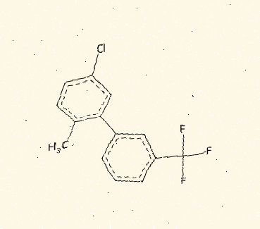 Cc1ccc(Cl)cc1-c1cccc(C(F)(F)F)c1